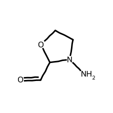 NN1CCOC1C=O